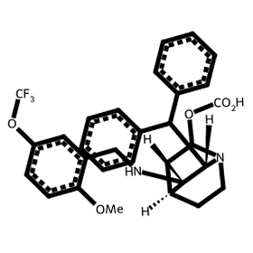 COc1ccc(OC(F)(F)F)cc1CN[C@H]1[C@H]2CCN(C(OC(=O)O)C2)[C@H]1C(c1ccccc1)c1ccccc1